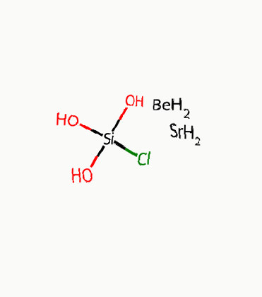 O[Si](O)(O)Cl.[BeH2].[SrH2]